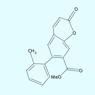 COC(=O)c1cc2oc(=O)ccc2cc1-c1ccccc1C